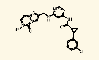 CC(C)n1ccc2nc(CNc3cc(NC(=O)[C@H]4CC4c4cccc(Cl)c4)ncn3)cn2c1=O